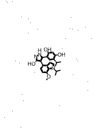 COc1ccc(-c2c(O)n[nH]c2-c2cc(C(C)C)c(O)cc2O)c2ccn(C(C)C)c12